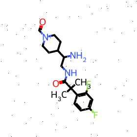 CC(C)(C(=O)NCC(N)C1CCN(C=O)CC1)c1ccc(F)cc1F